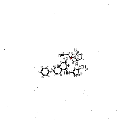 Cc1cc(Nc2nc(N[C@@H]3C[C@H]4CC[C@@H](C3)N4CCC#N)nc3cc(-c4ccccc4)ccc23)n[nH]1